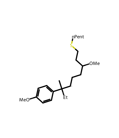 CCCCCSCCC(CC[CH]C(C)(CC)c1ccc(OC)cc1)OC